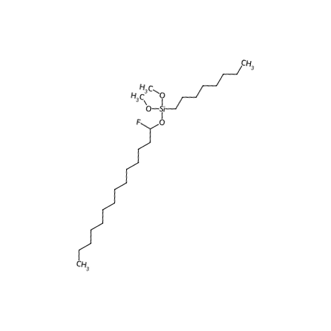 CCCCCCCCCCCCCC(F)O[Si](CCCCCCCC)(OC)OC